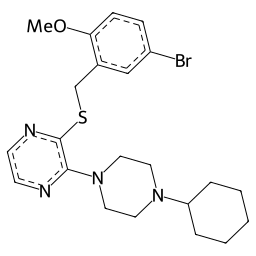 COc1ccc(Br)cc1CSc1nccnc1N1CCN(C2CCCCC2)CC1